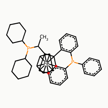 CC(P(C1CCCCC1)C1CCCCC1)[C]12[CH]3[CH]4[CH]5[C]1(c1ccccc1P(c1ccccc1)c1ccccc1)[Fe]45321678[CH]2[CH]1[CH]6[CH]7[CH]28